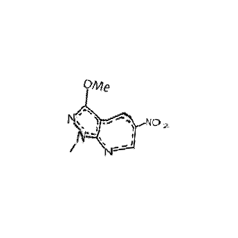 COc1nn(C)c2ncc([N+](=O)[O-])cc12